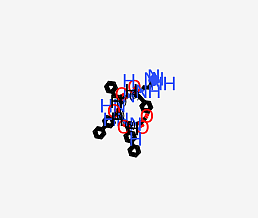 O=C1COc2ccc(cc2)C[C@@H](C(=O)NCCc2nnn[nH]2)NC(=O)[C@H](CCc2ccccc2)NC(=O)[C@@H](Cc2ccc(-c3ccccc3)cc2)NC(=O)[C@H](Cc2ccc(-c3ccccc3)cc2)N1